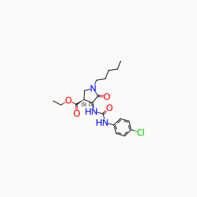 CCCCCN1C[C@H](C(=O)OCC)[C@H](NC(=O)Nc2ccc(Cl)cc2)C1=O